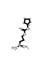 CN(C)CCCOC(=S)OC1CCCC1